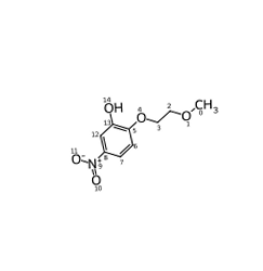 COCCOc1ccc([N+](=O)[O-])cc1O